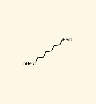 CCCCCCCC[CH]CCCCC(C)CCC